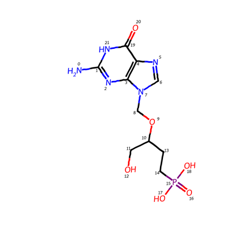 Nc1nc2c(ncn2COC(CO)CCP(=O)(O)O)c(=O)[nH]1